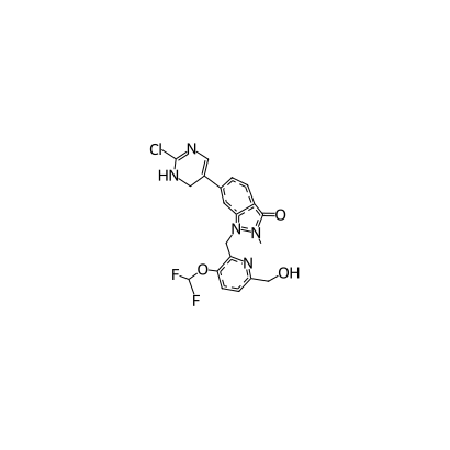 Cn1c(=O)c2ccc(C3=CN=C(Cl)NC3)cc2n1Cc1nc(CO)ccc1OC(F)F